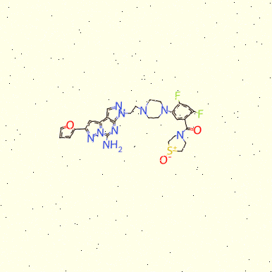 Nc1nc2c(cnn2CCN2CCN(c3cc(C(=O)N4CC[S+]([O-])CC4)c(F)cc3F)CC2)c2cc(-c3ccco3)nn12